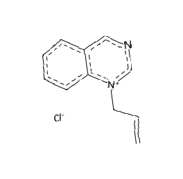 C=CC[n+]1cncc2ccccc21.[Cl-]